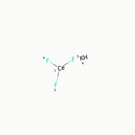 [F][Ce]([F])[F].[KH]